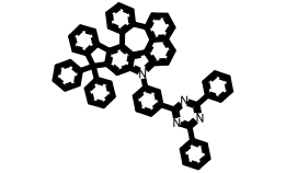 c1ccc(-c2nc(-c3ccccc3)nc(-c3cccc(-n4c5cc6c(c7c5c5c8c(cccc8ccc54)-c4ccccc4-7)-c4ccccc4C6(c4ccccc4)c4ccccc4)c3)n2)cc1